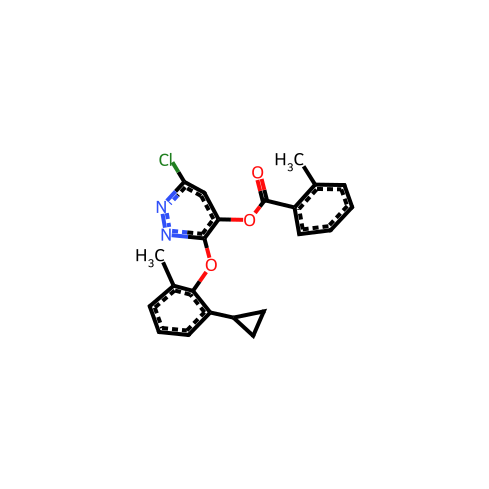 Cc1ccccc1C(=O)Oc1cc(Cl)nnc1Oc1c(C)cccc1C1CC1